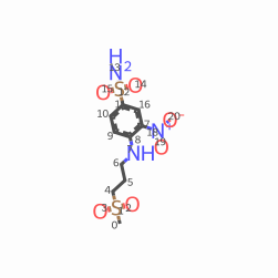 CS(=O)(=O)CCCNc1ccc(S(N)(=O)=O)cc1[N+](=O)[O-]